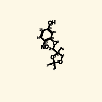 CC1(C)OC[C@@](C)(COc2cc(O)ccc2[N+](=O)[O-])O1